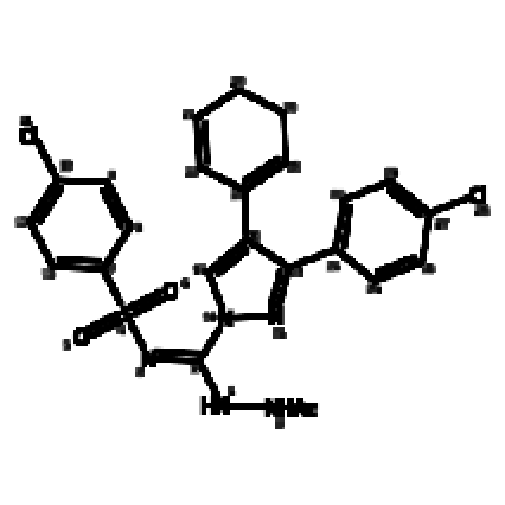 CC(=O)NNC(=NS(=O)(=O)c1ccc(Cl)cc1)n1cc(C2=CCCC=C2)c(-c2ccc(Cl)cc2)n1